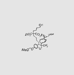 CCOC(=O)C(CCCCO)(CCCCC1c2ccc(OCOC)cc2OCC1(C)c1ccc(OCOC)cc1)C(=O)OCC